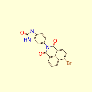 Cn1c(=O)[nH]c2cc(N3C(=O)c4cccc5c(Br)ccc(c45)C3=O)ccc21